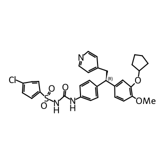 COc1ccc([C@H](Cc2ccncc2)c2ccc(NC(=O)NS(=O)(=O)c3ccc(Cl)cc3)cc2)cc1OC1CCCC1